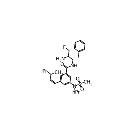 CCCN(c1cc(/C=C\C(C)C(C)C)cc(C(=O)N[C@@H](Cc2ccccc2)[C@@H](N)CF)c1)S(C)(=O)=O